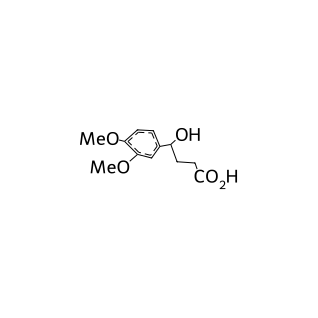 COc1ccc(C(O)CCC(=O)O)cc1OC